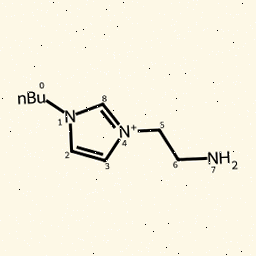 CCCCn1cc[n+](CCN)c1